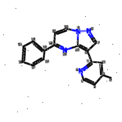 Cc1ccnc(-c2cnn3ccc(-c4ccccc4)nc23)c1